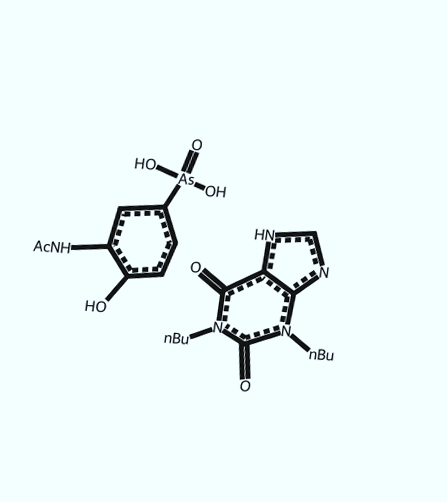 CC(=O)Nc1cc([As](=O)(O)O)ccc1O.CCCCn1c(=O)c2[nH]cnc2n(CCCC)c1=O